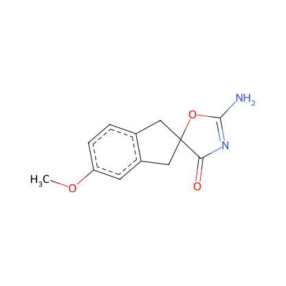 COc1ccc2c(c1)CC1(C2)OC(N)=NC1=O